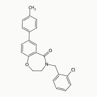 Cc1ccc(-c2ccc3c(c2)C(=O)N(Cc2ccccc2Cl)CCO3)cc1